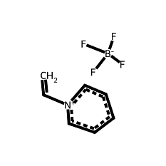 C=C[n+]1ccccc1.F[B-](F)(F)F